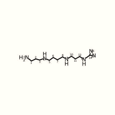 NCCCNCCCCNCCCNC1N=N1